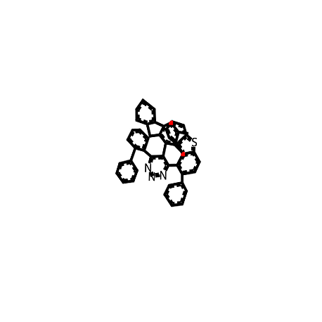 Cc1cc2c(c(-c3c(-c4ccccc4-c4ccccc4)nnnc3-c3c(-c4ccccc4)ccc4sc5ccccc5c34)c1C)Cc1ccccc1-2